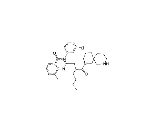 CCCCC(Cc1nc2c(C)cccc2c(=O)n1-c1cccc(Cl)c1)C(=O)N1CCCC2(CCCNC2)C1